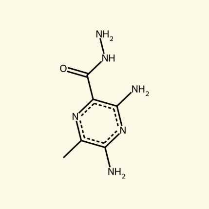 Cc1nc(C(=O)NN)c(N)nc1N